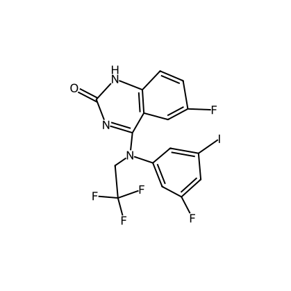 O=c1nc(N(CC(F)(F)F)c2cc(F)cc(I)c2)c2cc(F)ccc2[nH]1